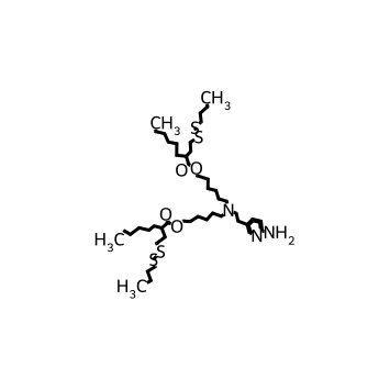 CCCCCCC(CCSSCCCC)C(=O)OCCCCCCN(CCCCCCOC(=O)C(CCCCCC)CCSSCCCC)CCc1ccc(N)nc1